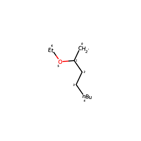 [CH2]C(CCCCCC)OCC